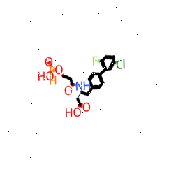 O=C(O)C[C@@H](Cc1ccc(-c2cc(Cl)ccc2F)cc1)NC(=O)CCO[PH](=O)O